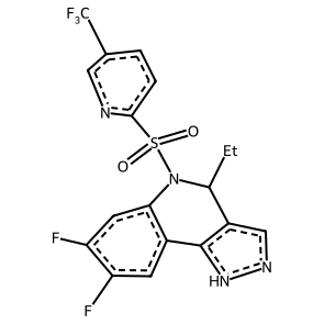 CCC1c2cn[nH]c2-c2cc(F)c(F)cc2N1S(=O)(=O)c1ccc(C(F)(F)F)cn1